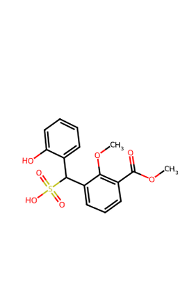 COC(=O)c1cccc(C(c2ccccc2O)S(=O)(=O)O)c1OC